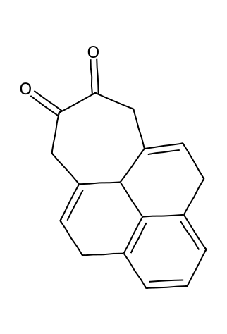 O=C1CC2=CCc3cccc4c3C2C(=CC4)CC1=O